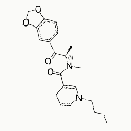 CCCCN1C=CCC(C(=O)N(C)[C@H](C)C(=O)c2ccc3c(c2)OCO3)=C1